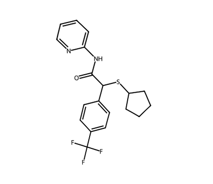 O=C(Nc1ccccn1)C(SC1CCCC1)c1ccc(C(F)(F)F)cc1